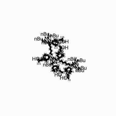 CCCCN(CCCC)c1nc(N(CCCC)CCCC)nc(N(CCCCCCN(c2nc(N(CCCC)C3CC(C)(C)N(OCC(C)O)C(C)(C)C3)nc(N(CCCCCCN(c3nc(N(CCCC)CCCC)nc(N(CCCC)CCCC)n3)C3CC(C)(C)N(OCC(C)O)C(C)(C)C3)C3CC(C)(C)N(OCC(C)O)C(C)(C)C3)n2)C2CC(C)(C)N(OCC(C)O)C(C)(C)C2)C2CC(C)(C)N(OCC(C)O)C(C)(C)C2)n1